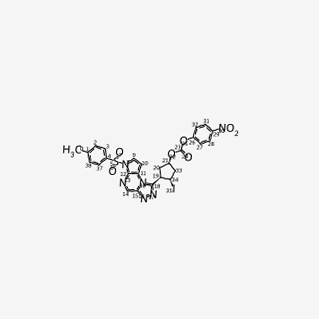 Cc1ccc(S(=O)(=O)n2ccc3c2ncc2nnc([C@H]4C[C@@H](OC(=O)Oc5ccc([N+](=O)[O-])cc5)C[C@H]4I)n23)cc1